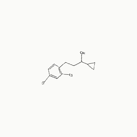 OC(CCc1ccc(Cl)cc1Cl)C1CC1